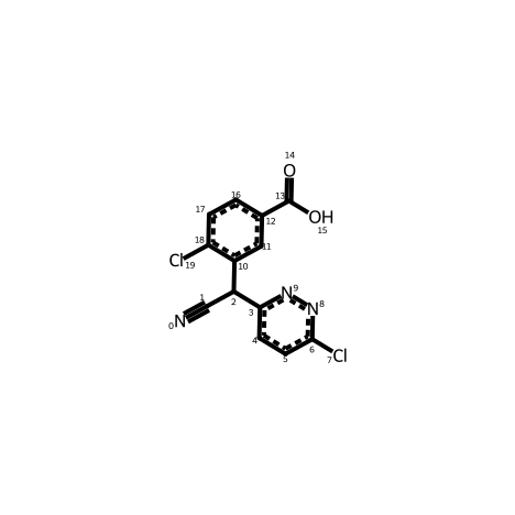 N#CC(c1ccc(Cl)nn1)c1cc(C(=O)O)ccc1Cl